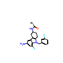 CC(C)C(=O)NC1CCc2c(c3cc(N)cc(F)c3n2Cc2cccc(F)c2)C1